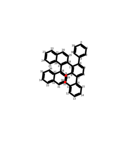 c1ccc(-c2ccc3c(ccc4ccccc43)c2-c2ccc3ccccc3c2-c2cccc3ccccc23)cc1